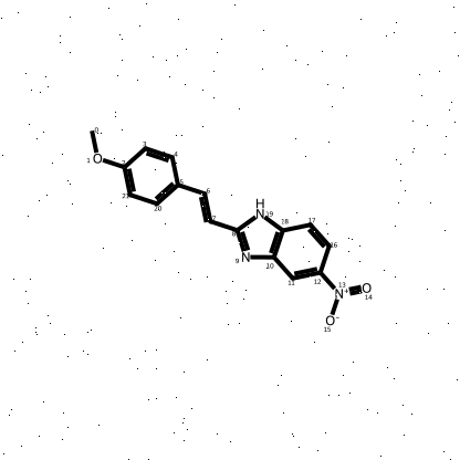 COc1ccc(C=Cc2nc3cc([N+](=O)[O-])ccc3[nH]2)cc1